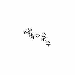 CC1(C)CCC(NCc2cccc(-c3ccc(-c4ncn(COC(=O)C(C)(C)C)n4)cc3)c2)CC1